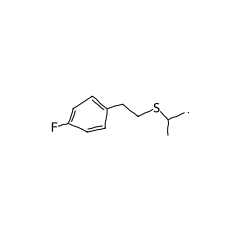 [CH2]C(C)SCCc1ccc(F)cc1